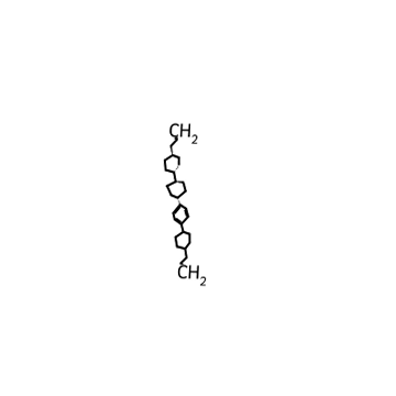 C=CCC1CCC(c2ccc([C@H]3CC[C@H]([C@H]4CC[C@H](CC=C)CC4)CC3)cc2)CC1